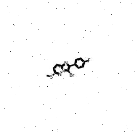 CSc1ccc2nc(-c3ccc(F)cc3)c(Br)n2n1